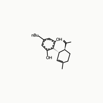 C=C(C)[C@H]1CCC(C)=C[C@@H]1c1c(O)cc(CCCC)cc1O